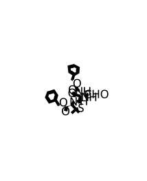 CC1(C)S[C@H]2N(C(=O)[C@@]2(NC=O)NC(=O)OCc2ccccc2)[C@H]1C(=O)OCc1ccccc1